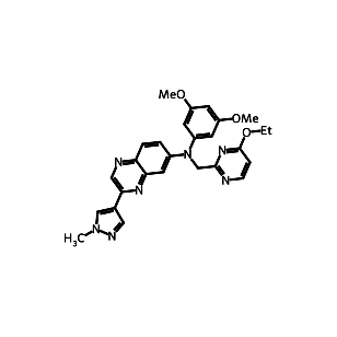 CCOc1ccnc(CN(c2cc(OC)cc(OC)c2)c2ccc3ncc(-c4cnn(C)c4)nc3c2)n1